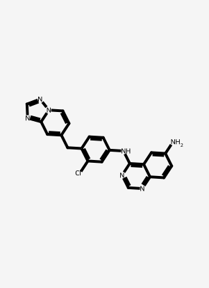 Nc1ccc2ncnc(Nc3ccc(Cc4ccn5ncnc5c4)c(Cl)c3)c2c1